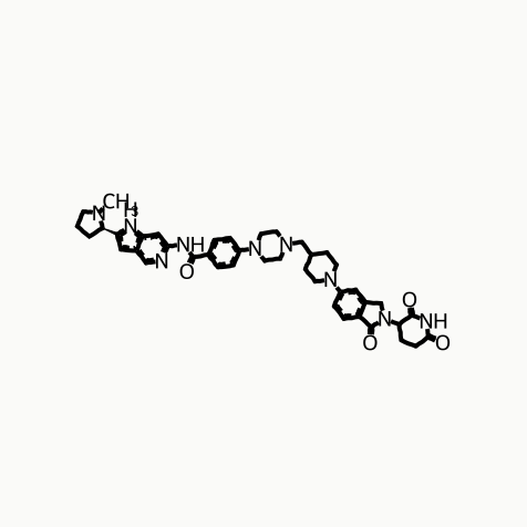 CN1CCC[C@@H]1c1cc2cnc(NC(=O)c3ccc(N4CCN(CC5CCN(c6ccc7c(c6)CN(C6CCC(=O)NC6=O)C7=O)CC5)CC4)cc3)cc2[nH]1